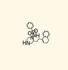 O=S(=O)(NN1CCNCC1CCC1=CCCc2ccccc21)c1ccccc1